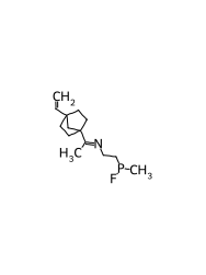 C=CC12CCC(/C(C)=N/CCP(C)F)(CC1)C2